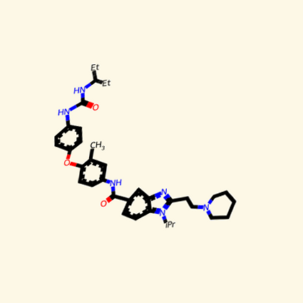 CCC(CC)NC(=O)Nc1ccc(Oc2ccc(NC(=O)c3ccc4c(c3)nc(CCN3CCCCC3)n4C(C)C)cc2C)cc1